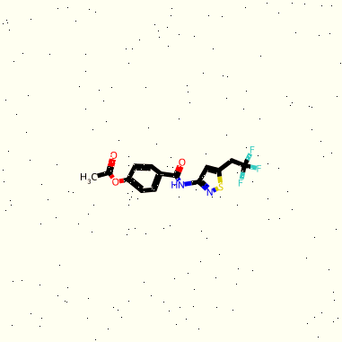 CC(=O)Oc1ccc(C(=O)Nc2cc(CC(F)(F)F)sn2)cc1